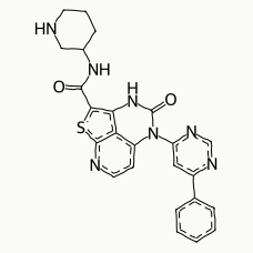 O=C(NC1CCCNC1)c1sc2nccc3c2c1NC(=O)N3c1cc(-c2ccccc2)ncn1